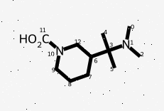 CN(C)C(C)(C)C1CCCN(C(=O)O)C1